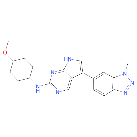 COC1CCC(Nc2ncc3c(-c4ccc5nnn(C)c5c4)c[nH]c3n2)CC1